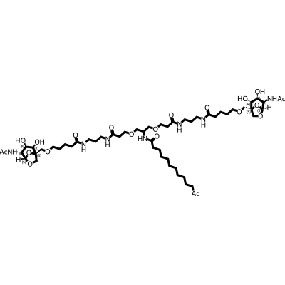 CC(=O)CCCCCCCCCCC(=O)NC(COCCC(=O)NCCCNC(=O)CCCCOC[C@@]12CO[C@@H](O1)[C@H](NC(C)=O)[C@@H](O)[C@H]2O)COCCC(=O)NCCCNC(=O)CCCCOC[C@@]12CO[C@@H](O1)[C@H](NC(C)=O)[C@@H](O)[C@H]2O